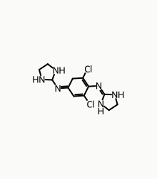 ClC1=CC(=NC2NCCN2)CC(Cl)=C1N=C1NCCN1